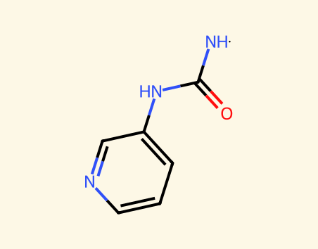 [NH]C(=O)Nc1cccnc1